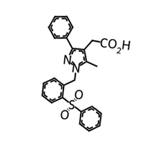 Cc1c(CC(=O)O)c(-c2ccccc2)nn1Cc1ccccc1S(=O)(=O)c1ccccc1